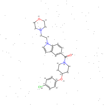 O=C(c1ccc2c(ccn2CCN2CCOCC2)c1)N1CCC(Oc2ccc(Cl)cc2)CC1